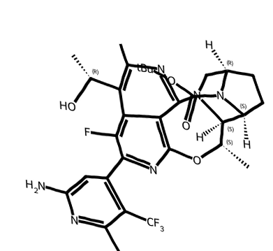 Cc1nc(N)cc(-c2nc3c4c(nc(C)c([C@@H](C)O)c4c2F)N2C[C@H]4CC[C@@H]([C@H]2[C@H](C)O3)N4C(=O)OC(C)(C)C)c1C(F)(F)F